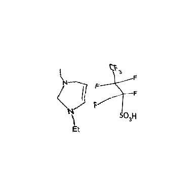 CCN1C=CN(C)C1.O=S(=O)(O)C(F)(F)C(F)(F)C(F)(F)F